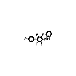 Fc1ccc(-c2c(F)c(F)c(Nc3ccccc3)c(F)c2F)cc1